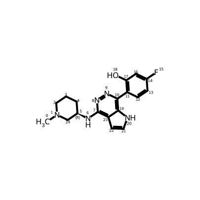 CN1CCC[C@@H](Nc2nnc(-c3ccc(F)cc3O)c3[nH]ccc23)C1